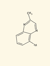 [2H]c1cccc2nc(C)cnc12